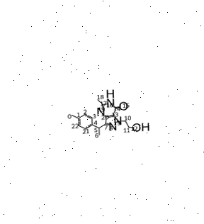 Cc1ccc(C(C)c2nn(CCO)c3c(=O)[nH]c(C)nc23)cc1